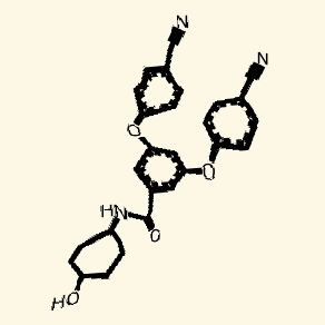 N#Cc1ccc(Oc2cc(Oc3ccc(C#N)cc3)cc(C(=O)NC3CCC(O)CC3)c2)cc1